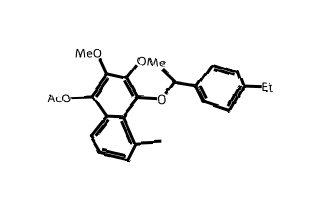 CCc1ccc(C(C)Oc2c(OC)c(OC)c(OC(C)=O)c3cccc(C)c23)cc1